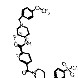 CS(=O)(=O)c1ccc(OC2CCN(C(=O)c3ccc(C(=O)N[C@@H]4CCN(Cc5ccc(OC(F)(F)F)cc5)C[C@H]4F)nc3)CC2)cc1